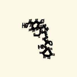 CCn1c(SCC(=O)Nc2ccccc2)nnc1-c1ccc(CO)cc1Cl